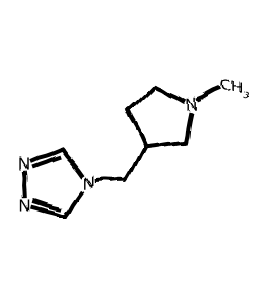 CN1CCC(Cn2cnnc2)C1